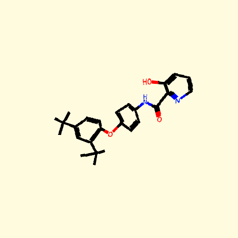 CC(C)(C)c1ccc(Oc2ccc(NC(=O)c3ncccc3O)cc2)c(C(C)(C)C)c1